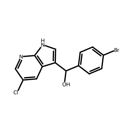 OC(c1ccc(Br)cc1)c1c[nH]c2ncc(Cl)cc12